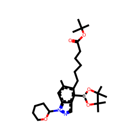 Cc1cc2c(cnn2C2CCCCO2)c(B2OC(C)(C)C(C)(C)O2)c1CCCCCC(=O)OC(C)(C)C